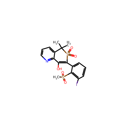 CC1(C)c2cccnc2C(O)=C(c2cccc(I)c2S(C)(=O)=O)S1(=O)=O